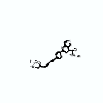 COC(CO)CC#CC#Cc1ccc(-c2cc(C(=O)NO)c3cnccc3n2)cc1